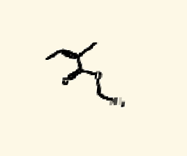 CC=C(C)C(=O)OCN